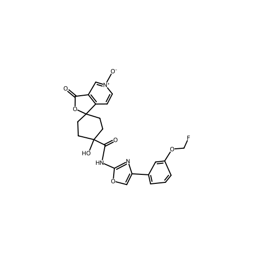 O=C1OC2(CCC(O)(C(=O)Nc3nc(-c4cccc(OCF)c4)co3)CC2)c2cc[n+]([O-])cc21